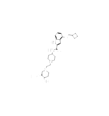 C[C@H]1CN(CCN2CCC(NC(=O)c3cc4c(OCC5CCC5)cccc4[nH]3)CC2)CC[C@@H]1O